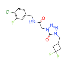 O=C(Cn1nnn(CC2CC(F)(F)C2)c1=O)NCc1ccc(Cl)c(F)c1